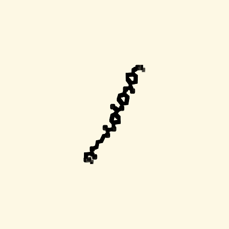 C=CC(=O)OCCCCOC(=O)Oc1ccc(C(=O)Oc2ccc(OC(=O)c3ccc(C=C)cc3)cc2)cc1